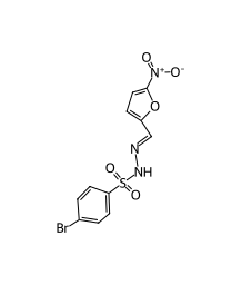 O=[N+]([O-])c1ccc(C=NNS(=O)(=O)c2ccc(Br)cc2)o1